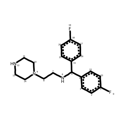 Fc1ccc(C(NCCN2CCNCC2)c2ccc(F)cc2)cc1